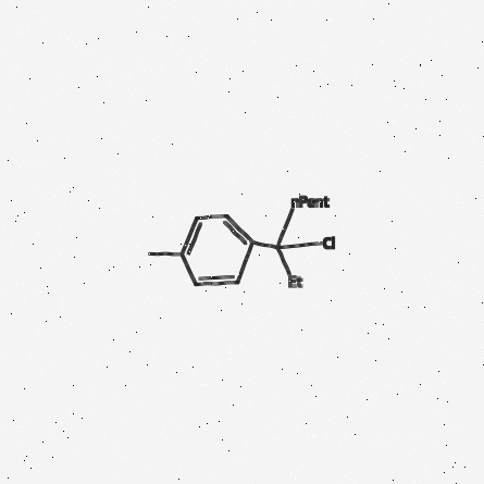 CCCCCC(Cl)(CC)c1ccc(C)cc1